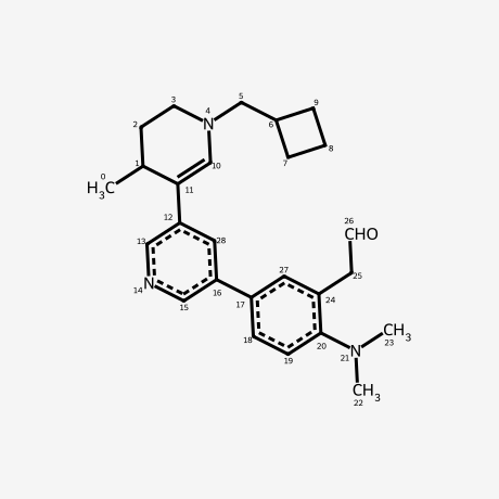 CC1CCN(CC2CCC2)C=C1c1cncc(-c2ccc(N(C)C)c(CC=O)c2)c1